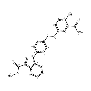 COC(=O)c1cc(OCc2cnc(-c3cn(C(=O)OC(C)(C)C)c4ccccc34)nc2)ccc1O